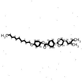 CCCCCCCCCCOc1ccc(OC(=O)c2ccc([C@H]3OC[C@H](CC[C@@H](C)CC)CO3)cc2)cc1